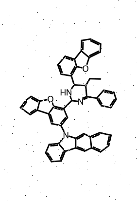 CCC1C(c2ccccc2)=NC(c2cc(-n3c4ccccc4c4cc5ccccc5cc43)cc3c2oc2ccccc23)NC1c1cccc2c1oc1ccccc12